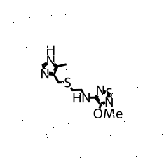 COc1nsnc1NCCSCc1nc[nH]c1C